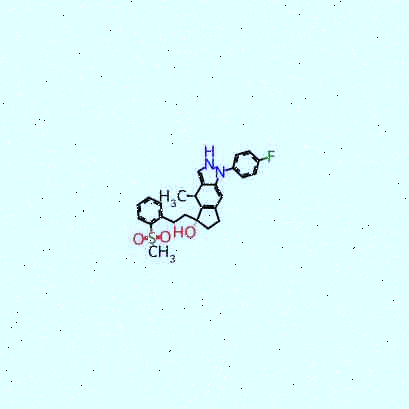 C[C@H]1C2=CNN(c3ccc(F)cc3)C2=CC2=C1[C@](O)(CCc1ccccc1S(C)(=O)=O)CC2